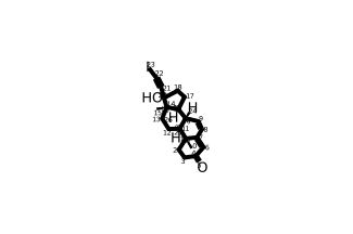 C[C@]12CCC(=O)C=C1C=C[C@@H]1[C@@H]2CC[C@@]2(C)[C@H]1CCC2(O)C#CI